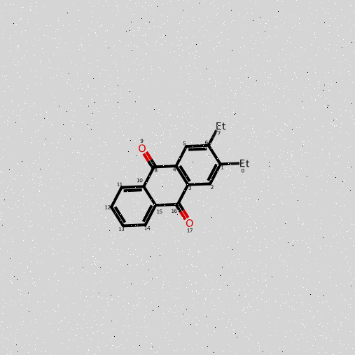 CCc1cc2c(cc1CC)C(=O)c1ccccc1C2=O